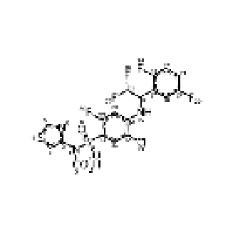 O=C(O)N(c1cscn1)S(=O)(=O)c1cc(Cl)c(NC(c2cc(F)ccc2F)C(F)F)cc1F